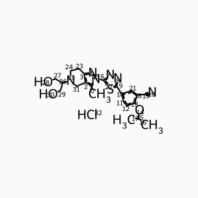 Cc1c2c(nn1-c1nnc(-c3ccc(OC(C)C)c(C#N)c3)s1)CCN(C(CO)CO)C2.Cl